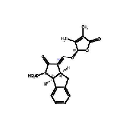 CC1=C(C)[C@H](O/C=C2/C(=O)N(C(=O)O)[C@@H]3c4ccccc4C[C@H]23)OC1=O